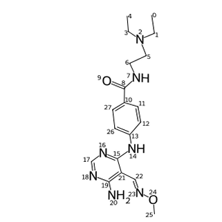 CCN(CC)CCNC(=O)c1ccc(Nc2ncnc(N)c2/C=N/OC)cc1